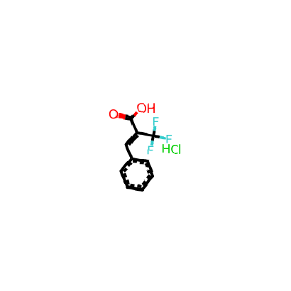 Cl.O=C(O)C(=Cc1ccccc1)C(F)(F)F